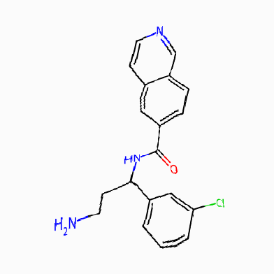 NCCC(NC(=O)c1ccc2cnccc2c1)c1cccc(Cl)c1